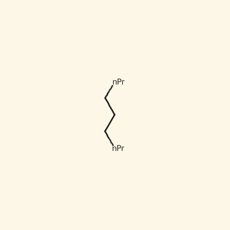 [CH]CCCCCCCC